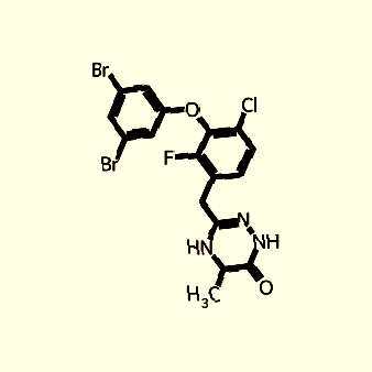 CC1NC(Cc2ccc(Cl)c(Oc3cc(Br)cc(Br)c3)c2F)=NNC1=O